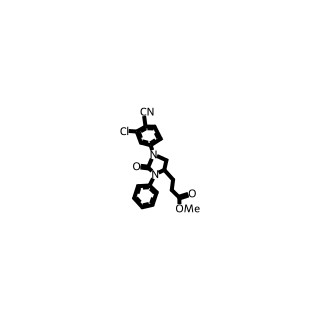 COC(=O)CCC1CN(c2ccc(C#N)c(Cl)c2)C(=O)N1c1ccccc1